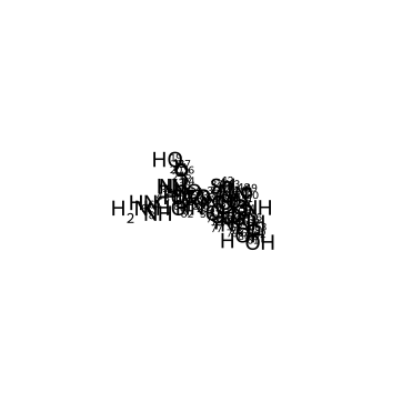 CN[C@@H](CCCNC(=N)N)C(=O)N[C@@H](Cc1ccc(O)cc1)C(=O)NC(C(=O)N[C@@H](CO)C(=O)N[C@@H](CS)C(=O)N1CCC[C@H]1C(=O)N1CCC[C@H]1C(=O)N[C@@H](Cc1ccc(O)cc1)C(=O)NC(C(=O)NC(C(C)=O)C(C)C)[C@@H](C)O)[C@@H](C)O